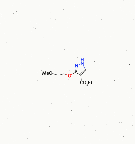 CCOC(=O)c1c[nH]nc1OCCOC